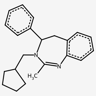 CC1=Nc2ccccc2CC(c2ccccc2)N1CC1CCCC1